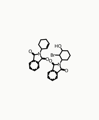 O=C1c2ccccc2C(=O)N1C1C=CCCC1.O=C1c2ccccc2C(=O)N1C1CCCC(O)C1Br